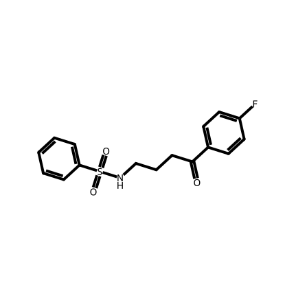 O=C(CCCNS(=O)(=O)c1ccccc1)c1ccc(F)cc1